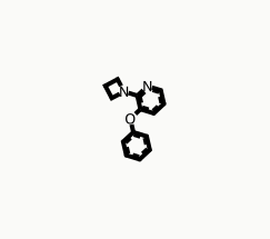 c1ccc(Oc2cccnc2N2CCC2)cc1